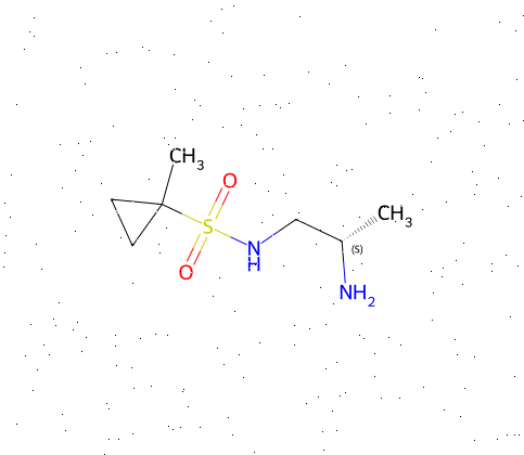 C[C@H](N)CNS(=O)(=O)C1(C)CC1